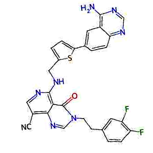 N#Cc1cnc(NCc2ccc(-c3ccc4ncnc(N)c4c3)s2)c2c(=O)n(CCc3ccc(F)c(F)c3)cnc12